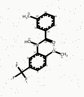 COc1ccc(C(F)(F)F)cc1N(O)C(=O)c1cccc(C)c1